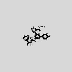 CO[C@@H](C)c1nnnn1-c1cc(OC(=O)NC(C)c2cnccn2)cc(-c2ccc(C)cc2)c1